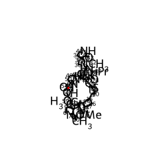 CCn1c(-c2cccnc2[C@H](C)OC)c2c3cc(ccc31)-c1csc(n1)C[C@H](NC(=O)[C@H](C(C)C)N(C)C(=O)N1CC[C@@]3(CCNC3=O)C1)C(=O)N1CCC[C@H](N1)C(=O)OCC(C)(C)C2